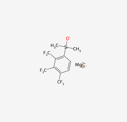 C[Si](C)([O-])c1ccc(C(F)(F)F)c(C(F)(F)F)c1C(F)(F)F.[Br-].[Mg+2]